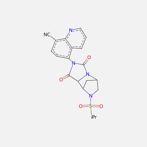 CC(C)S(=O)(=O)N1CC2CC1C1C(=O)N(c3ccc(C#N)c4ncccc34)C(=O)N21